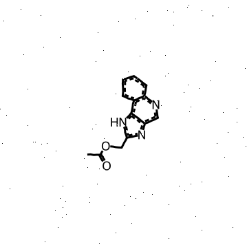 CC(=O)OCc1nc2cnc3ccccc3c2[nH]1